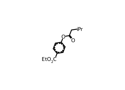 CCOC(=O)c1ccc(OC(=O)CC(C)C)cc1